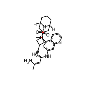 C/C(N)=C/C(=N)Nc1cc2ncccc2c(N(C)[C@@H]2C[C@H]3CCC[C@@H](C2)N3S(=O)(=O)N2CC(C#N)C2)n1